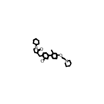 Cc1cc(OCCN2CCCCC2)ccc1-c1ccc(CC2CCN(C3CCCCC3)C2=O)c(Cl)c1